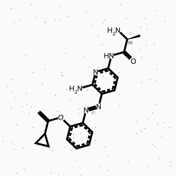 C=C(Oc1ccccc1/N=N/c1ccc(NC(=O)[C@H](C)N)nc1N)C1CC1